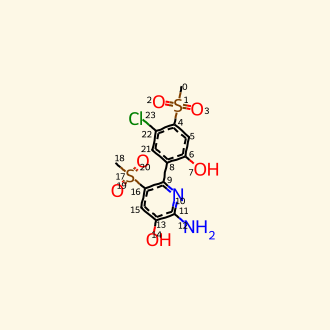 CS(=O)(=O)c1cc(O)c(-c2nc(N)c(O)cc2S(C)(=O)=O)cc1Cl